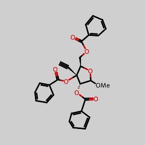 C#C[C@@]1(OC(=O)c2ccccc2)[C@@H](COC(=O)c2ccccc2)OC(OC)[C@@H]1OC(=O)c1ccccc1